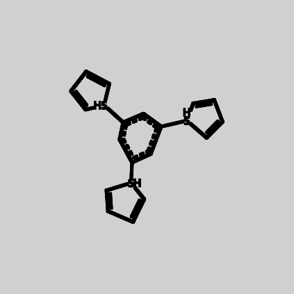 C1=C[SH](c2cc([SH]3C=CC=C3)cc([SH]3C=CC=C3)c2)C=C1